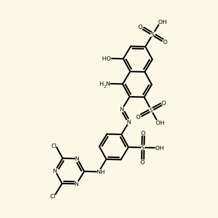 Nc1c(N=Nc2ccc(Nc3nc(Cl)nc(Cl)n3)cc2S(=O)(=O)O)c(S(=O)(=O)O)cc2cc(S(=O)(=O)O)cc(O)c12